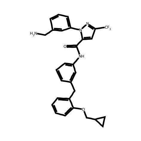 NCc1cccc(-n2nc(C(F)(F)F)cc2C(=O)Nc2cccc(Cc3ccccc3OCC3CC3)c2)c1